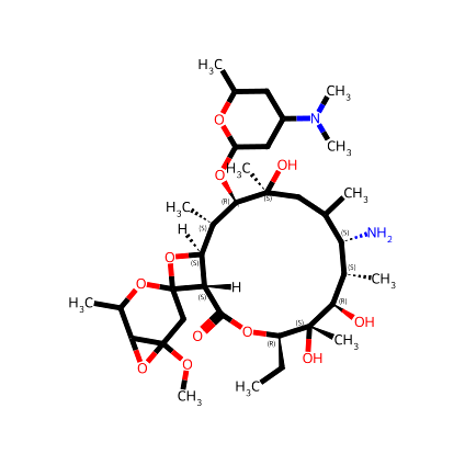 CC[C@H]1OC(=O)[C@H]2[C@@H](OC23CC2(OC)OC2C(C)O3)[C@H](C)[C@@H](OC2CC(N(C)C)CC(C)O2)[C@@](C)(O)CC(C)[C@H](N)[C@H](C)[C@@H](O)[C@]1(C)O